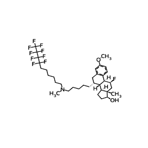 COc1ccc2c(c1)C[C@@H](CCCCCN(C)CCCCCCC(F)(F)C(F)(F)C(F)(F)C(F)(F)F)[C@@H]1[C@@H]2[C@@H](F)C[C@]2(C)[C@@H](O)CC[C@@H]12